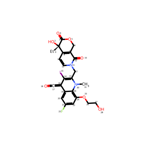 CC[C@@]1(O)C(=O)OCc2c1ccn(CC1=C(I)C(=C=O)c3cc(F)cc(OCCO)c3N1C)c2=O